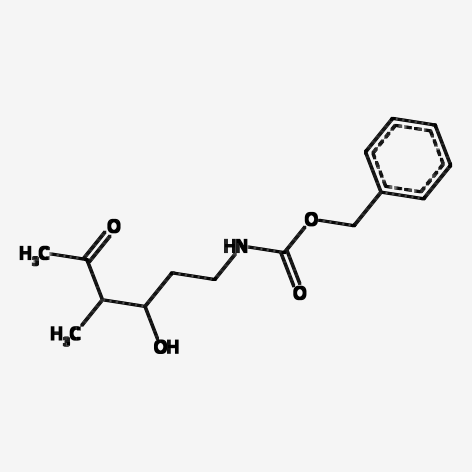 CC(=O)C(C)C(O)CCNC(=O)OCc1ccccc1